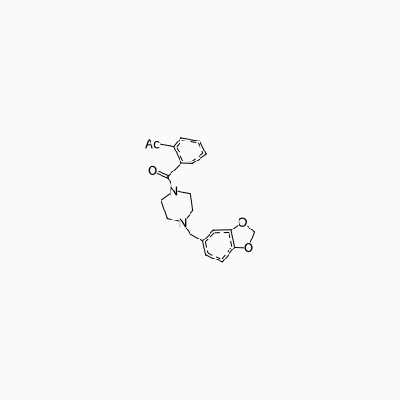 CC(=O)c1ccccc1C(=O)N1CCN(Cc2ccc3c(c2)OCO3)CC1